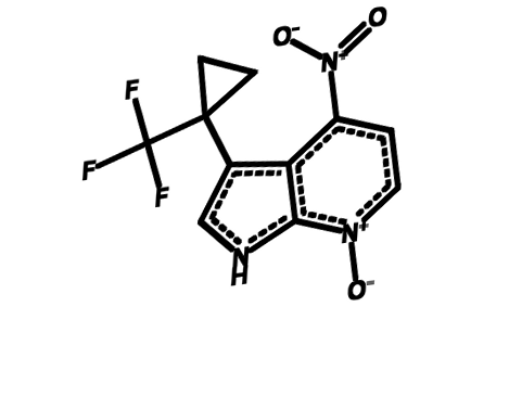 O=[N+]([O-])c1cc[n+]([O-])c2[nH]cc(C3(C(F)(F)F)CC3)c12